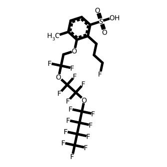 Cc1ccc(S(=O)(=O)O)c(CCCF)c1OCC(F)(F)OC(F)(F)C(F)(F)OC(F)(F)C(F)(F)C(F)(F)C(F)(F)F